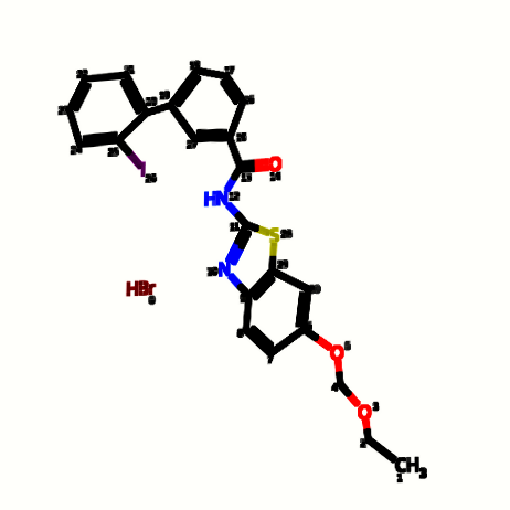 Br.CCOCOc1ccc2nc(NC(=O)c3cccc(-c4ccccc4I)c3)sc2c1